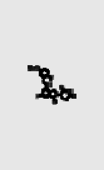 COc1ccc(F)c(CNc2cc(F)cc3c2CN(C2CCC(=O)NC2=O)C3=O)c1